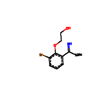 CNC(=N)c1cccc(Br)c1OCCO